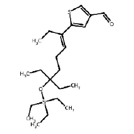 CCC(=CCCC(CC)(CC)O[Si](CC)(CC)CC)c1cc(C=O)cs1